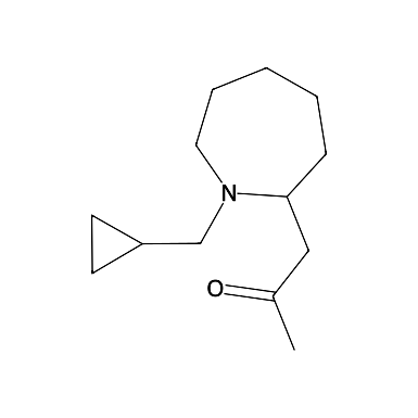 CC(=O)CC1CCCCCN1CC1CC1